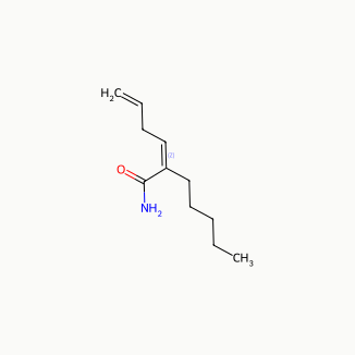 C=CC/C=C(/CCCCC)C(N)=O